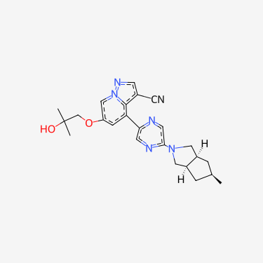 C[C@@H]1C[C@@H]2CN(c3cnc(-c4cc(OCC(C)(C)O)cn5ncc(C#N)c45)cn3)C[C@@H]2C1